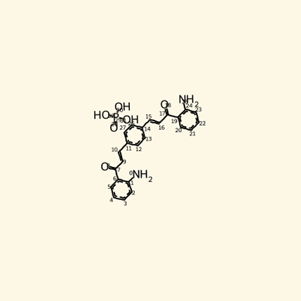 Nc1ccccc1C(=O)C=Cc1ccc(C=CC(=O)c2ccccc2N)cc1.O=P(O)(O)O